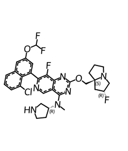 CN(c1nc(OC[C@@]23CCCN2C[C@H](F)C3)nc2c(F)c(-c3cc(OC(F)F)cc4cccc(Cl)c34)ncc12)[C@@H]1CCNC1